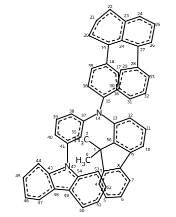 CC1(C)c2ccccc2-c2cccc(N(c3ccc(-c4cccc5cccc(-c6ccccc6)c45)cc3)c3cccc(-n4c5ccccc5c5ccccc54)c3)c21